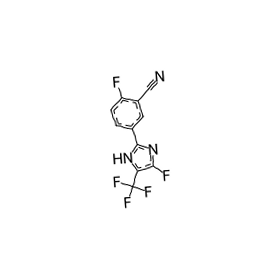 N#Cc1cc(-c2nc(F)c(C(F)(F)F)[nH]2)ccc1F